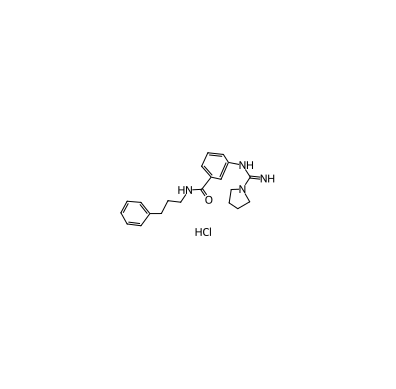 Cl.N=C(Nc1cccc(C(=O)NCCCc2ccccc2)c1)N1CCCC1